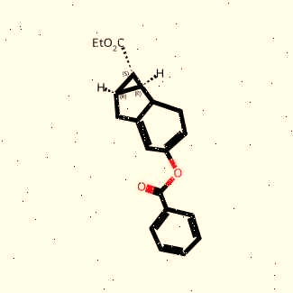 CCOC(=O)[C@H]1[C@@H]2CC3=CC(OC(=O)c4ccccc4)=CCC3[C@@H]21